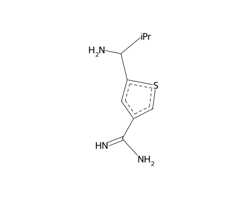 CC(C)C(N)c1cc(C(=N)N)cs1